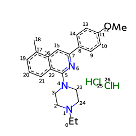 CCN1CCN(c2nc(-c3ccc(OC)cc3)cc3c(C)cccc23)CC1.Cl.Cl